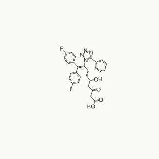 O=C(O)CC(=O)CC(O)C=CC(=C(c1ccc(F)cc1)c1ccc(F)cc1)n1nnnc1-c1ccccc1